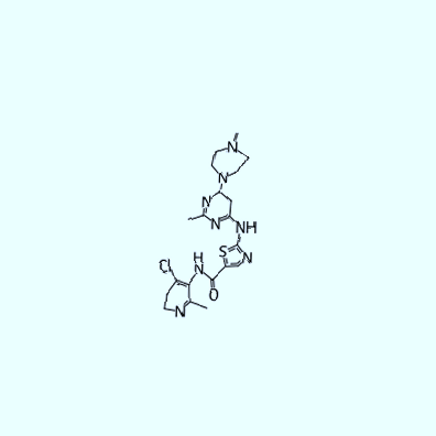 CC1=NC(N2CCN(C)CC2)CC(Nc2ncc(C(=O)NC3=C(Cl)CCN=C3C)s2)=N1